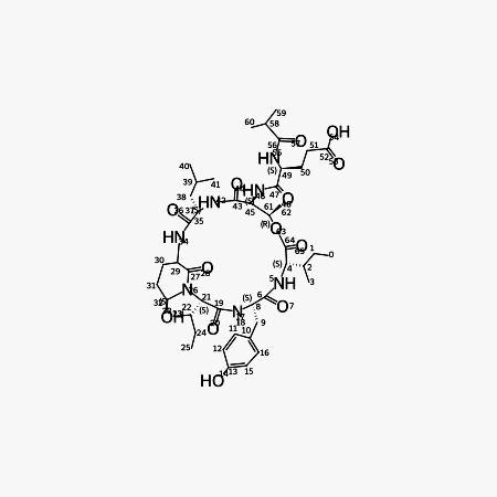 CCC(C)[C@@H]1NC(=O)[C@H](Cc2ccc(O)cc2)N(C)C(=O)[C@H](C(C)CC)N2C(=O)C(CC[C@@H]2O)NC(=O)[C@H](CC(C)C)NC(=O)[C@@H](NC(=O)[C@H](CCC(=O)O)NC(=O)C(C)C)[C@@H](C)OC1=O